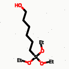 CCO[Si](CCCCCCO)(OCC)OCC